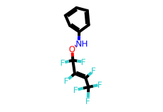 FC(=C(F)C(F)(F)ONc1ccccc1)C(F)(F)F